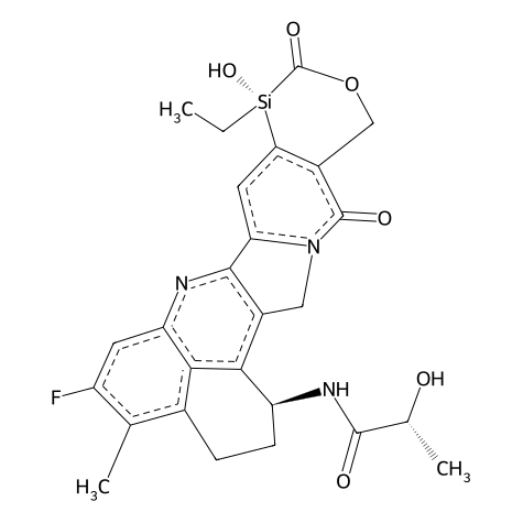 CC[Si@@]1(O)C(=O)OCc2c1cc1n(c2=O)Cc2c-1nc1cc(F)c(C)c3c1c2[C@@H](NC(=O)[C@@H](C)O)CC3